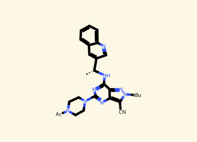 CCC(C)n1nc2c(N[C@H](C)c3cnc4ccccc4c3)nc(N3CCN(C(C)=O)CC3)nc2c1C#N